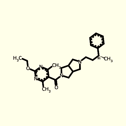 CCOc1nc(C)c(C(=O)N2CC3CN(CC[C@@H](C)c4ccccc4)CC3C2)c(C)n1